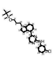 CC(C)(C)[Si](C)(C)OCCCn1ccc2c(-c3ccnc(Nc4cccc(Cl)c4)n3)cccc21